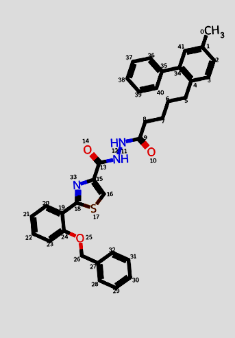 Cc1ccc(CCCCC(=O)NNC(=O)c2csc(-c3ccccc3OCc3ccccc3)n2)c(-c2ccccc2)c1